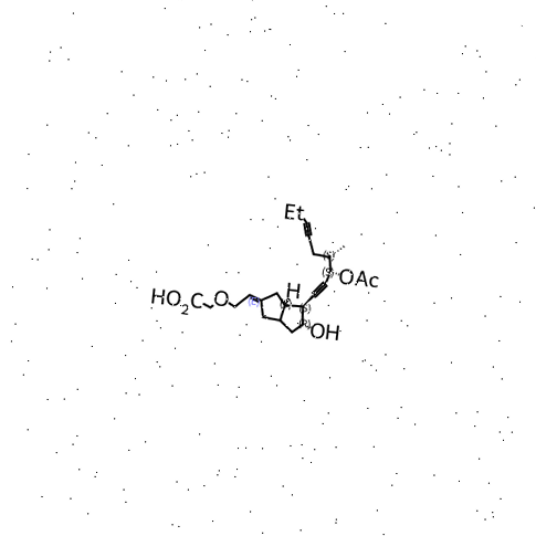 CCC#CC[C@H](C)[C@@H](C#C[C@H]1[C@H](O)CC2C/C(=C\COCC(=O)O)C[C@@H]21)OC(C)=O